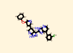 Fc1cccc(-c2ccnc3[nH]c(-c4n[nH]c5ncc(-c6cncc(OC7CCCCC7)c6)cc45)nc23)c1